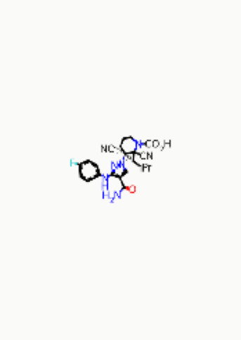 CC(C)CC1(C#N)[C@@H](n2cc(C(N)=O)c(Nc3ccc(F)cc3)n2)[C@H](C#N)CCN1C(=O)O